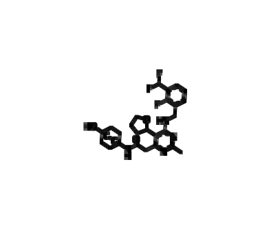 Cc1nc(CC(=O)NC23CCC(O)(CC2)CC3)c(C2CCCO2)c(NCc2cccc(C(F)F)c2F)n1